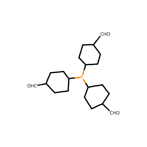 O=CC1CCC(P(C2CCC(C=O)CC2)C2CCC(C=O)CC2)CC1